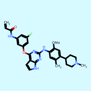 C=CC(=O)Nc1cc(F)cc(Oc2nc(Nc3cc(C)c(C4CCN(C)CC4)cc3OC)nc3[nH]ccc23)c1